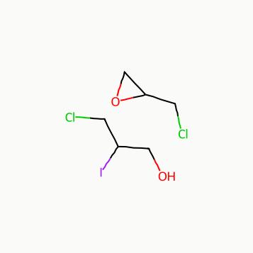 ClCC1CO1.OCC(I)CCl